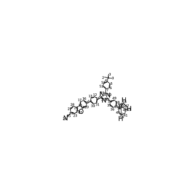 CC(C)(C)c1ccc(-c2nc(-c3ccc(-c4ccc5c(c4)oc4cc(C#N)ccc45)cc3)nc(-c3ccc(C45C[C@H]6C[C@H](C4)C[C@@H](C5)C6)cc3)n2)cc1